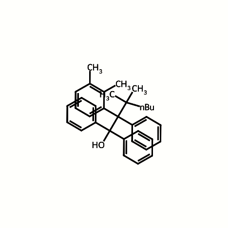 CCCCC(C)(C)C(c1ccccc1)(c1cccc(C)c1C)C(O)(c1ccccc1)c1ccccc1